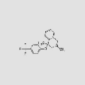 CN1Cc2ccccc2C(C)(Oc2ccc(C(F)(F)F)cc2)C1